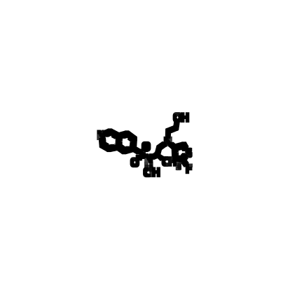 C[C@H](CN(CCO)c1csc(F)c1)NS(=O)(=O)c1ccc2cnccc2c1.Cl